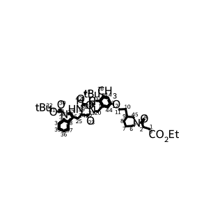 CCOC(=O)CCC(=O)N1CCCC(CCOc2cc(C)c(C)c(CNC(=O)C(Cc3cn(C(=O)OC(C)(C)C)c4ccccc34)NC(=O)OC(C)(C)C)c2)C1